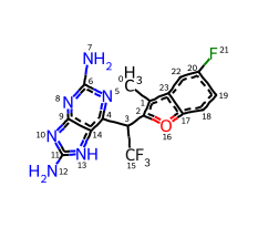 Cc1c(C(c2nc(N)nc3nc(N)[nH]c23)C(F)(F)F)oc2ccc(F)cc12